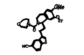 CCOc1cc2c(cc1OC)CCN(C(=O)N1CCOCC1)C2CCc1csc2ccc(C#N)cc12